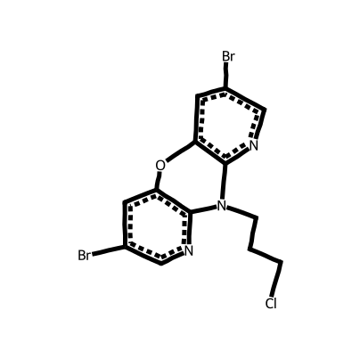 ClCCCN1c2ncc(Br)cc2Oc2cc(Br)cnc21